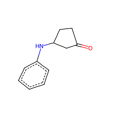 O=C1CCC(Nc2ccccc2)C1